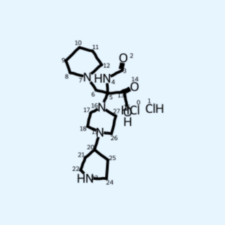 Cl.Cl.O=CNC(CN1CCCCC1)(C(=O)O)N1CCN(C2CCNCC2)CC1